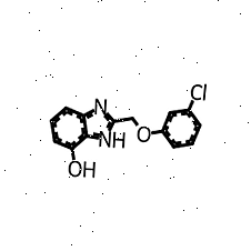 Oc1cccc2nc(COc3cccc(Cl)c3)[nH]c12